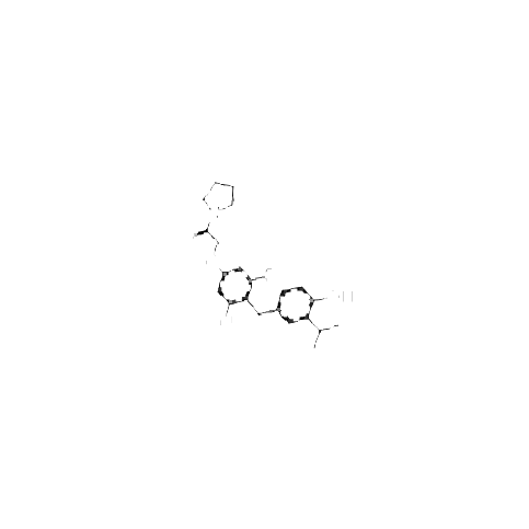 CC(C)c1cc(Cc2c(Cl)cc(OCC(=O)N3CCCC3)cc2Cl)ccc1O